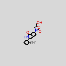 CCCc1ccccc1-c1cc2ccc(N3CC(CO)OC3=O)cc2c(=O)[nH]1